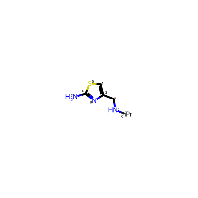 CC(C)NCc1csc(N)n1